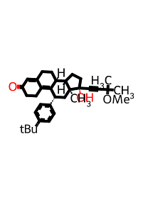 COC(C)(C)C#C[C@]1(O)CC[C@H]2[C@@H]3CCC4=CC(=O)CCC4=C3[C@@H](c3ccc(C(C)(C)C)cc3)C[C@@]21C